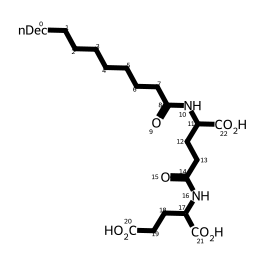 CCCCCCCCCCCCCCCCCC(=O)NC(CCC(=O)NC(CCC(=O)O)C(=O)O)C(=O)O